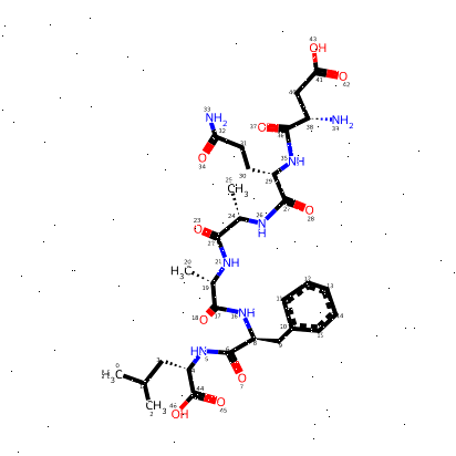 CC(C)C[C@H](NC(=O)[C@H](Cc1ccccc1)NC(=O)[C@H](C)NC(=O)[C@H](C)NC(=O)[C@H](CCC(N)=O)NC(=O)[C@@H](N)CC(=O)O)C(=O)O